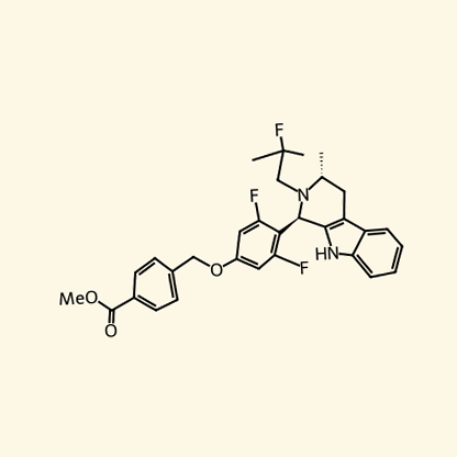 COC(=O)c1ccc(COc2cc(F)c([C@@H]3c4[nH]c5ccccc5c4C[C@@H](C)N3CC(C)(C)F)c(F)c2)cc1